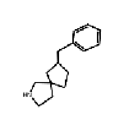 c1ccc(CC2CCC3(CCNC3)C2)cc1